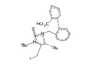 CCCCc1c(CF)n(C(C)(C)C)c(=O)n1Cc1ccccc1-c1ccccc1C(=O)O